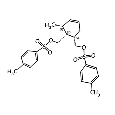 Cc1ccc(S(=O)(=O)OC[C@H]2CC=C[C@@H](C)[C@H]2COS(=O)(=O)c2ccc(C)cc2)cc1